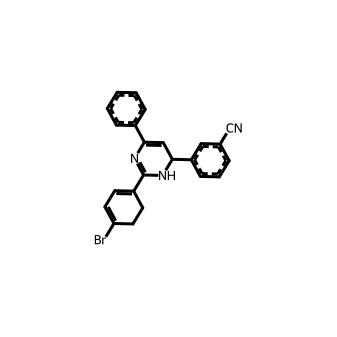 N#Cc1cccc(C2C=C(c3ccccc3)N=C(C3=CC=C(Br)CC3)N2)c1